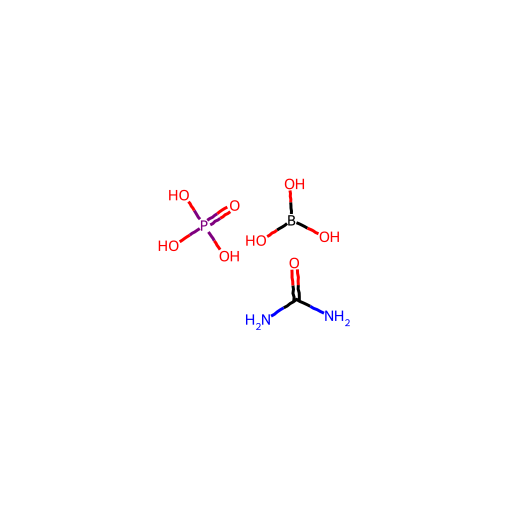 NC(N)=O.O=P(O)(O)O.OB(O)O